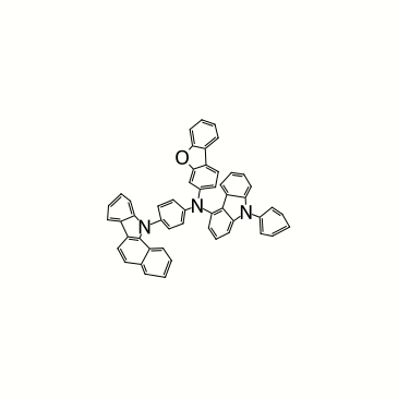 c1ccc(-n2c3ccccc3c3c(N(c4ccc(-n5c6ccccc6c6ccc7ccccc7c65)cc4)c4ccc5c(c4)oc4ccccc45)cccc32)cc1